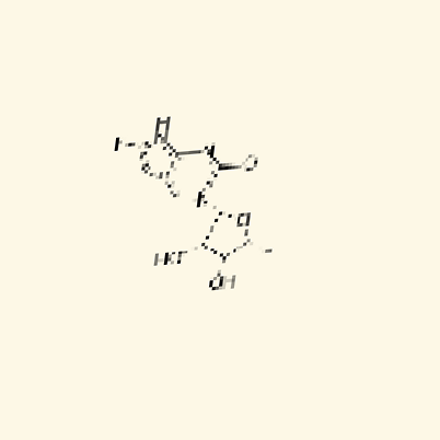 C[C@H]1O[C@@H](n2cc3cc(F)[nH]c3nc2=O)[C@@H](O)C1O